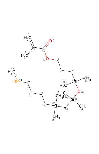 C=C(C)C(=O)OCCC[Si](C)(C)O[Si](C)(C)C[Si](C)(C)CCCCPC